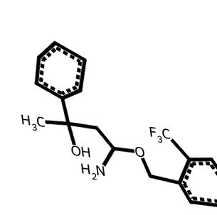 CC(O)(CC(N)OCc1ccccc1C(F)(F)F)c1ccccc1